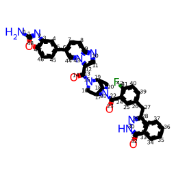 Nc1nc2cc(-c3ccc4ncc(C(=O)N5CC6CC5CN6C(=O)c5cc(Cc6n[nH]c(=O)c7ccccc67)ccc5F)n4c3)ccc2o1